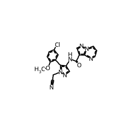 COc1ccc(Cl)cc1-c1c(NC(=O)c2cnn3cccnc23)cnn1CC#N